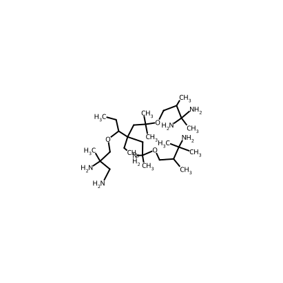 CCC(OCC(C)(N)CN)C(CC)(CC(C)(C)OCC(C)C(C)(N)N)CC(C)(N)OCC(C)C(C)(C)N